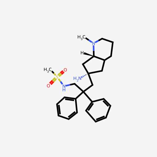 CN1CCCC2C[C@@](N)(CC(CNS(C)(=O)=O)(c3ccccc3)c3ccccc3)C[C@@H]21